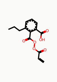 C=CC(=O)OOC(=O)c1c(CCC)cccc1C(=O)O